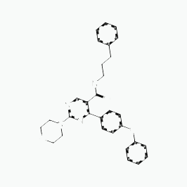 O=C(NCCCc1ccccc1)c1cnc(N2CCOCC2)nc1-c1ccc(Oc2ccccc2)cc1